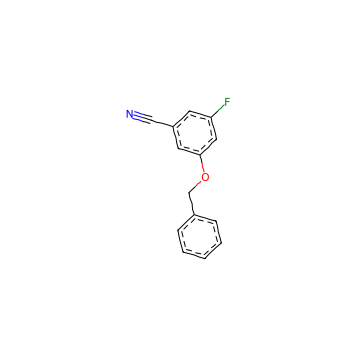 N#Cc1cc(F)cc(OCc2ccccc2)c1